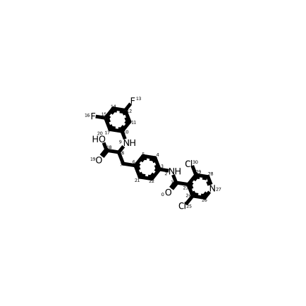 O=C(Nc1ccc(CC(Nc2cc(F)cc(F)c2)C(=O)O)cc1)c1c(Cl)cncc1Cl